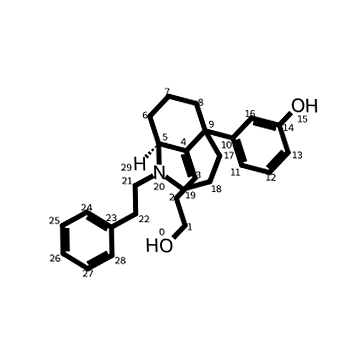 OCC/C=C1\[C@@H]2CCCC1(c1cccc(O)c1)CCCN2CCc1ccccc1